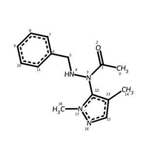 CC(=O)N(NCc1ccccc1)c1c(C)cnn1C